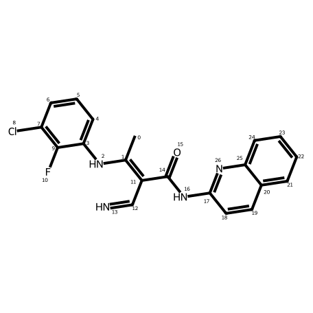 C/C(Nc1cccc(Cl)c1F)=C(/C=N)C(=O)Nc1ccc2ccccc2n1